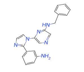 Nc1cccc(-c2nccn2-c2cncc(NCc3ccccc3)n2)c1